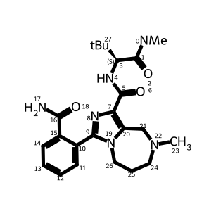 CNC(=O)[C@@H](NC(=O)c1nc(-c2ccccc2C(N)=O)n2c1CN(C)CCC2)C(C)(C)C